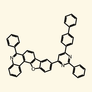 c1ccc(-c2ccc(-c3cc(-c4ccc5oc6c(ccc7c(-c8ccccc8)nc8ccccc8c76)c5c4)nc(-c4ccccc4)n3)cc2)cc1